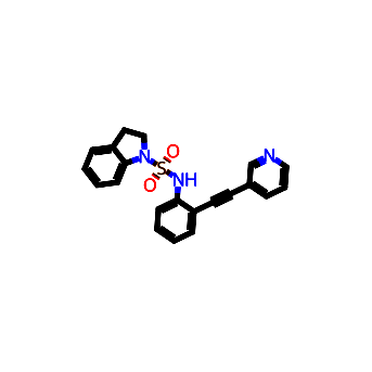 O=S(=O)(Nc1ccccc1C#Cc1cccnc1)N1CCc2ccccc21